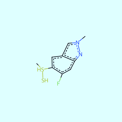 Cn1cc2cc([SH](C)S)c(F)cc2n1